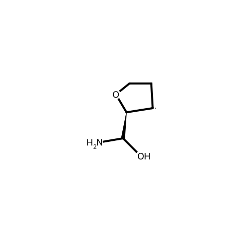 NC(O)[C@@H]1[CH]CCO1